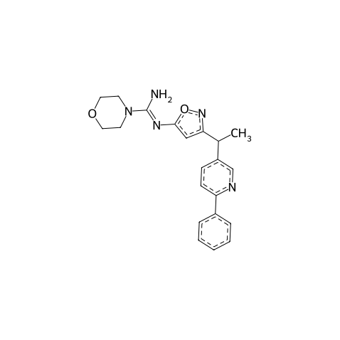 CC(c1ccc(-c2ccccc2)nc1)c1cc(/N=C(\N)N2CCOCC2)on1